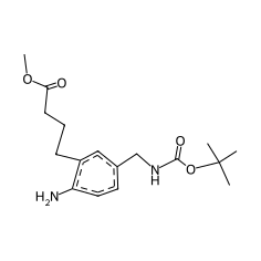 COC(=O)CCCc1cc(CNC(=O)OC(C)(C)C)ccc1N